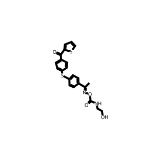 C/C(=N\OC(=O)NCCO)c1ccc(Sc2ccc(C(=O)c3cccs3)cc2)cc1